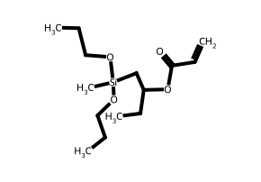 C=CC(=O)OC(CC)C[Si](C)(OCCC)OCCC